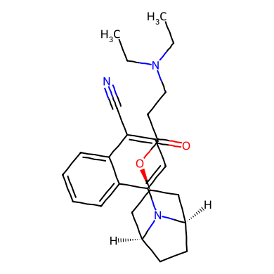 CCN(CC)CCC(=O)O[C@H]1C[C@H]2CC[C@@H](C1)N2c1ccc(C#N)c2ccccc12